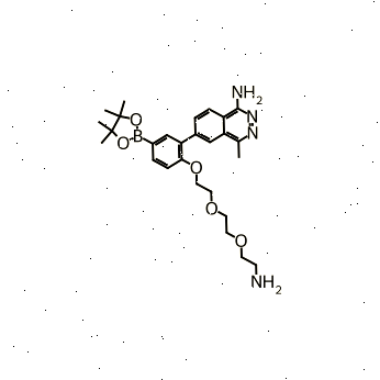 Cc1nnc(N)c2ccc(-c3cc(B4OC(C)(C)C(C)(C)O4)ccc3OCCOCCOCCN)cc12